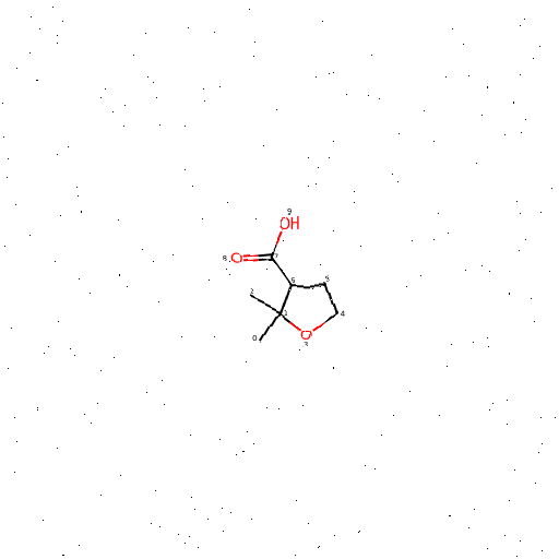 CC1(C)OCCC1C(=O)O